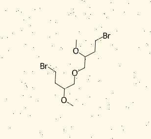 COC(CCBr)COCC(CCBr)OC